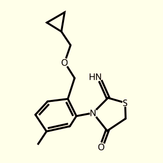 Cc1ccc(COCC2CC2)c(N2C(=N)SCC2=O)c1